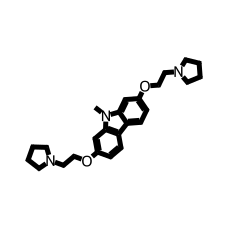 Cn1c2cc(OCCN3CCCC3)ccc2c2ccc(OCCN3CCCC3)cc21